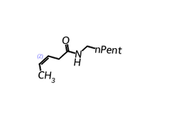 C/C=C\CC(=O)NCCCCCC